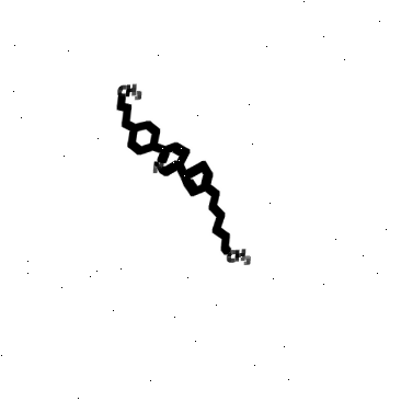 CCCCCCCc1ccc(-c2ccc(C3CCC(CCCC)CC3)nc2)cc1